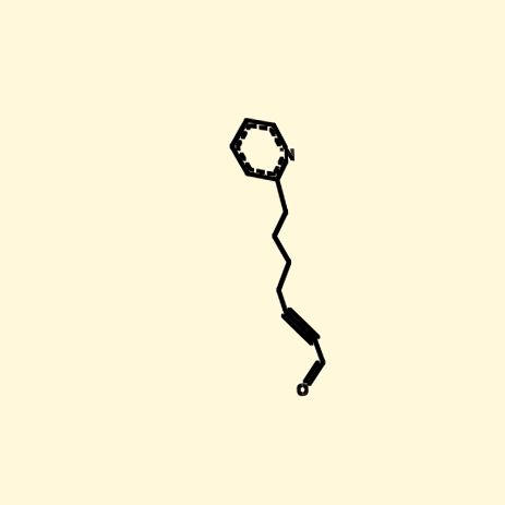 O=CC#CCCCCc1ccccn1